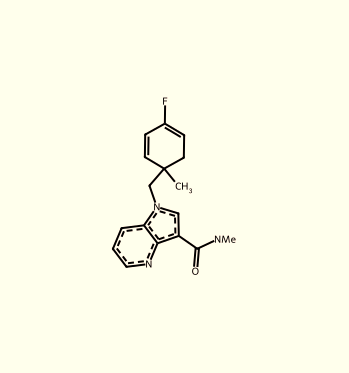 CNC(=O)c1cn(CC2(C)C=CC(F)=CC2)c2cccnc12